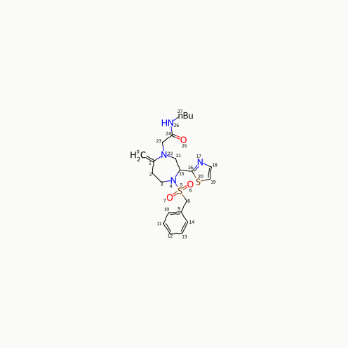 C=C1CCN(S(=O)(=O)Cc2ccccc2)C(c2nccs2)CN1CC(=O)NCCCC